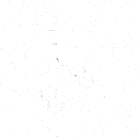 CC(C)OC(=O)OC[C@@H]1C[C@@H](OC(=O)c2ccccc2C(=O)O)[C@H](n2ccc(N)nc2=O)O1